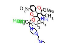 COC(=O)C1=C(C)NC(C)=C(C(=O)OCC(C)(C)CN2CCN(CCN3CCCCC3)CC2)C1c1cccc([N+](=O)[O-])c1.Cl.Cl.Cl